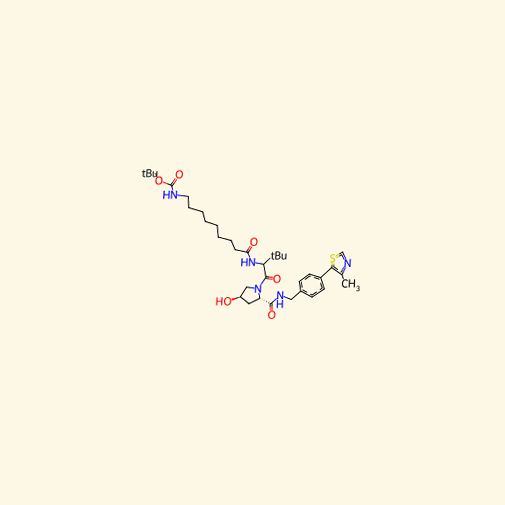 Cc1ncsc1-c1ccc(CNC(=O)[C@@H]2C[C@@H](O)CN2C(=O)C(NC(=O)CCCCCCCCNC(=O)OC(C)(C)C)C(C)(C)C)cc1